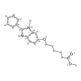 COC(=O)CCCCCOc1ccc2nc(-c3ccccc3)n(C)c2c1